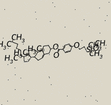 CO[Si](C)(C)CCCOc1ccc(C(=O)OC2CC[C@@]3(C)C(=CCC4C5CCC(C(C)CCCC(C)C)[C@@]5(C)CCC43)C2)cc1